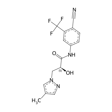 Cc1cnn(C[C@H](O)C(=O)Nc2ccc(C#N)c(C(F)(F)F)c2)c1